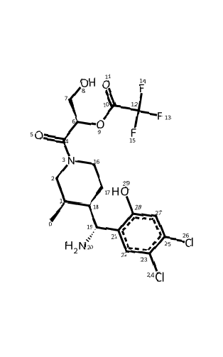 C[C@H]1CN(C(=O)[C@@H](CO)OC(=O)C(F)(F)F)CC[C@H]1[C@@H](N)c1cc(Cl)c(Cl)cc1O